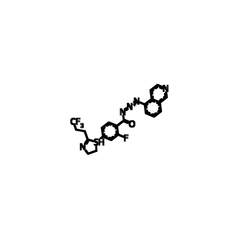 O=C(N=[N+]=Nc1cccc2cnccc12)c1ccc([SH]2CCN=C2CCC(F)(F)F)cc1F